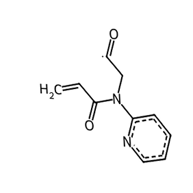 C=CC(=O)N(C[C]=O)c1ccccn1